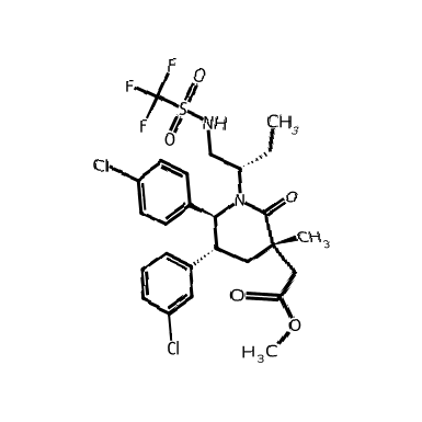 CC[C@@H](CNS(=O)(=O)C(F)(F)F)N1C(=O)[C@](C)(CC(=O)OC)C[C@H](c2cccc(Cl)c2)[C@H]1c1ccc(Cl)cc1